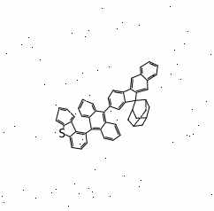 c1ccc2cc3c(cc2c1)-c1ccc(-c2c4ccccc4c(-c4cccc5sc6ccccc6c45)c4ccccc24)cc1C31C2CC3CC(C2)CC1C3